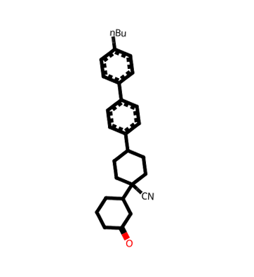 CCCCc1ccc(-c2ccc(C3CCC(C#N)(C4CCCC(=O)C4)CC3)cc2)cc1